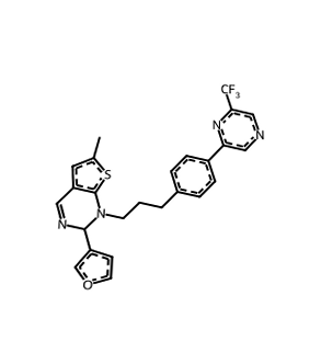 Cc1cc2c(s1)N(CCCc1ccc(-c3cncc(C(F)(F)F)n3)cc1)C(c1ccoc1)N=C2